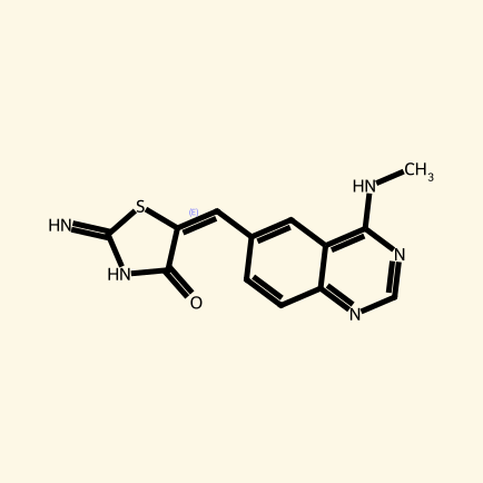 CNc1ncnc2ccc(/C=C3/SC(=N)NC3=O)cc12